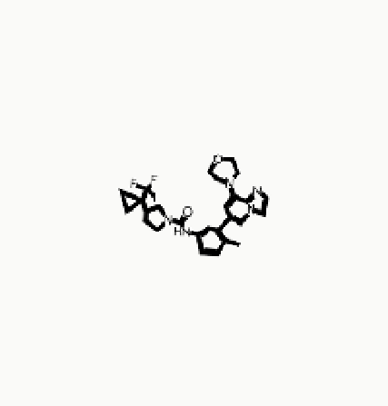 Cc1ccc(NC(=O)N2CCC(C3(C(F)(F)I)CC3)C2)cc1-c1cc(N2CCOCC2)c2nccn2c1